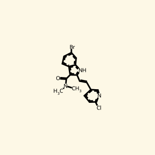 CN(C)C(=O)c1c(C=Cc2ccc(Cl)nc2)[nH]c2cc(Br)ccc12